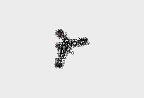 Cc1cc2c3c(c1)N(c1ccc(C45CC6CC(CC(C6)C4)C5)cc1)c1ccc(C45CC6CC(CC(C6)C4)C5)cc1B3c1ccccc1N2c1ccc(C23CC4CC(CC(C4)C2)C3)cc1